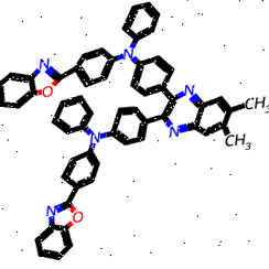 Cc1cc2nc(-c3ccc(N(c4ccccc4)c4ccc(-c5nc6ccccc6o5)cc4)cc3)c(-c3ccc(N(c4ccccc4)c4ccc(-c5nc6ccccc6o5)cc4)cc3)nc2cc1C